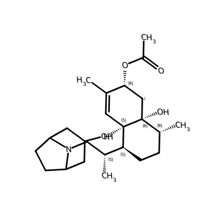 CC(=O)O[C@@H]1[C][C@@]2(O)[C@H](C)CC[C@@H]([C@H](C)CN3C4CCC3CC(O)C4)[C@H]2C=C1C